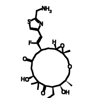 CC[C@H]1C(=O)C(C)(C)[C@@H](O)CC(=O)C[C@@H](C(F)=Cc2csc(CN)n2)C[C@@H]2O[C@]2(C)COC[C@H](C)[C@@H]1O